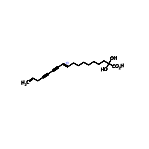 C=CCC#CC#C/C=C/CCCCCCCC(O)(O)C(=O)O